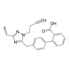 C#CCCn1nc(C=S)nc1Cc1ccc(-c2ccccc2C(=O)O)cc1